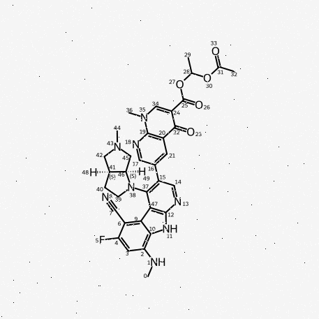 CNc1cc(F)c(C#N)c2c1[nH]c1ncc(-c3cnc4c(c3)c(=O)c(C(=O)OC(C)OC(C)=O)cn4C)c(N3CC[C@H]4CN(C)C[C@H]43)c12